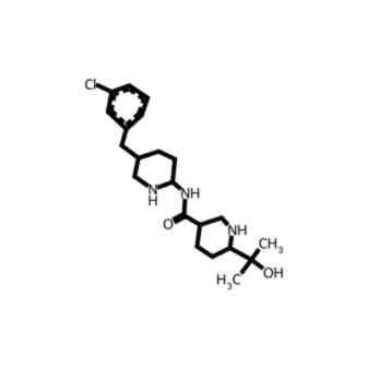 CC(C)(O)C1CCC(C(=O)NC2CCC(Cc3cccc(Cl)c3)CN2)CN1